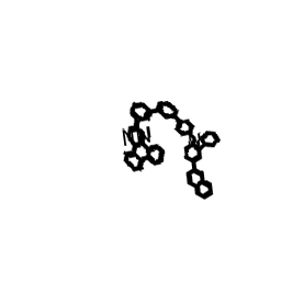 C1=C(c2ccc3ccccc3c2)CCc2c1c1ccccc1n2-c1ccc(-c2cccc(-c3cccc(-c4cnc5c6ccccc6c6ccccc6c5n4)c3)c2)cc1